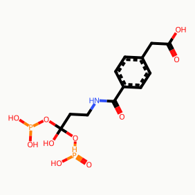 O=C(O)Cc1ccc(C(=O)NCCC(O)(OP(O)O)O[PH](=O)O)cc1